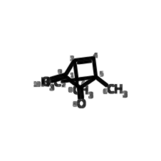 CC1(C)C2=CC1(C)C(=O)C2=O